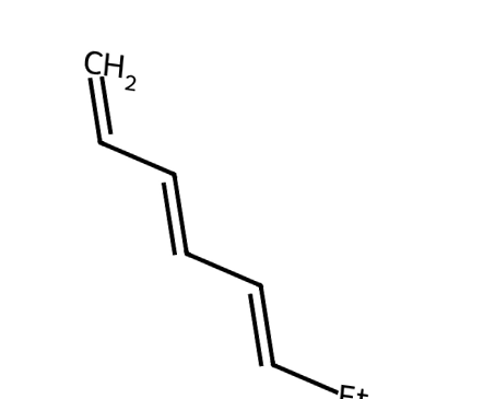 C=CC=CC=CCC